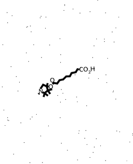 CN1CCC(C)(OC(=O)CCCCCCCCC(=O)O)C(C)(C)C1(C)C